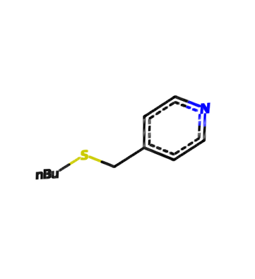 CCCCSCc1ccncc1